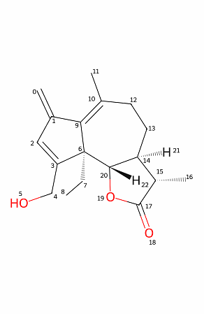 C=C1C=C(CO)[C@@]2(CC)C1=C(C)CC[C@H]1[C@H](C)C(=O)O[C@@H]12